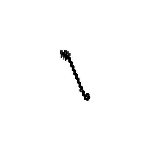 FC(F)(F)C(F)(F)C(F)(F)CCCCCCCCCCCCCCCOCCC1CCCO1